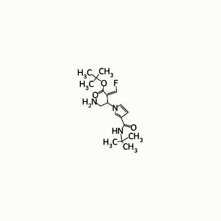 CC(C)(C)NC(=O)c1ccn(C(CN)C(=CF)C(=O)OC(C)(C)C)c1